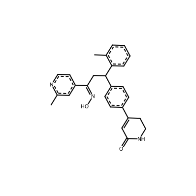 Cc1cc(C(CC(c2ccc(C3=CC(=O)NCC3)cc2)c2ccccc2C)=NO)ccn1